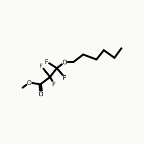 CCCCCCOC(F)(F)C(F)(F)C(=O)OC